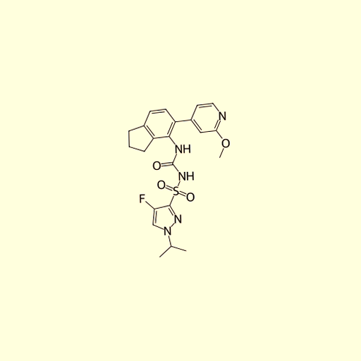 COc1cc(-c2ccc3c(c2NC(=O)NS(=O)(=O)c2nn(C(C)C)cc2F)CCC3)ccn1